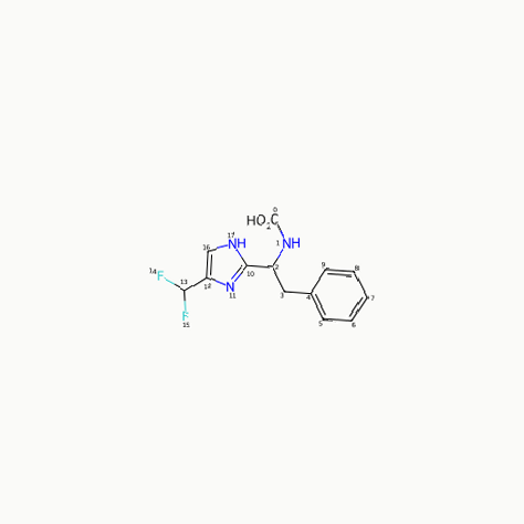 O=C(O)NC(Cc1ccccc1)c1nc(C(F)F)c[nH]1